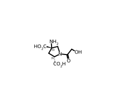 N[C@@]1(C(=O)O)C[C@@H](C(=O)O)N(C(=O)CO)C1